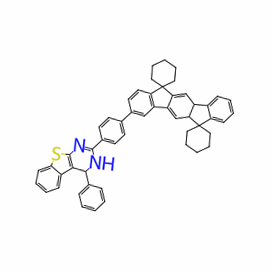 C1=C2C(=CC3c4ccccc4C4(CCCCC4)C13)C1(CCCCC1)c1ccc(-c3ccc(C4=Nc5sc6ccccc6c5C(c5ccccc5)N4)cc3)cc12